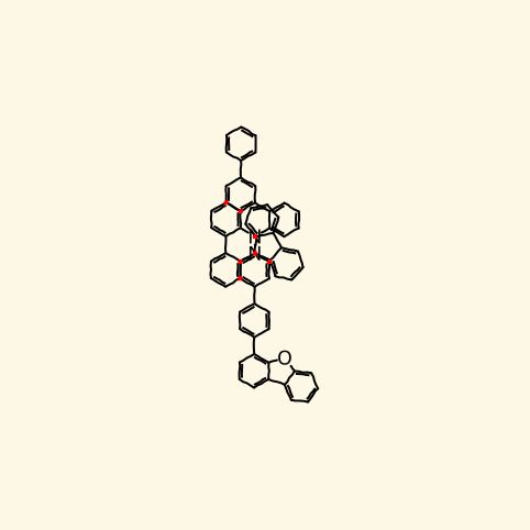 c1ccc(-c2cccc(-c3ccccc3N(c3ccc(-c4ccc(-c5cccc6c5oc5ccccc56)cc4)cc3)c3ccccc3-c3ccccc3-n3c4ccccc4c4ccccc43)c2)cc1